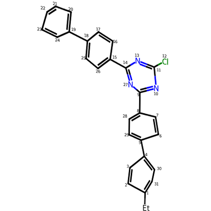 CCc1ccc(-c2ccc(-c3nc(Cl)nc(-c4ccc(-c5ccccc5)cc4)n3)cc2)cc1